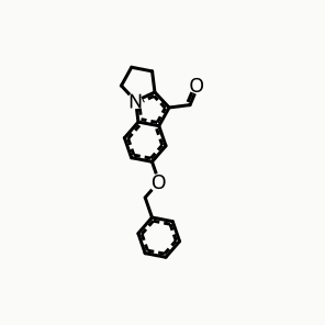 O=Cc1c2n(c3ccc(OCc4ccccc4)cc13)CCC2